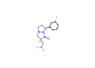 C[C@]1(CC(F)F)CN2CC[C@@H](c3cccc(F)c3)N2C1=O